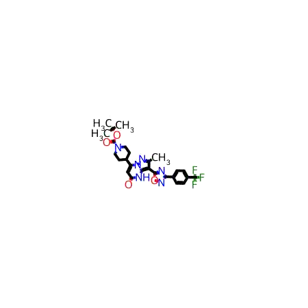 Cc1nn2c(C3CCN(C(=O)OC(C)(C)C)CC3)cc(=O)[nH]c2c1-c1nc(-c2ccc(C(F)(F)F)cc2)no1